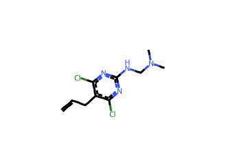 C=CCc1c(Cl)nc(NCN(C)C)nc1Cl